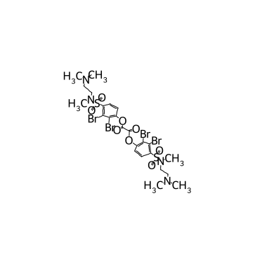 CN(C)CCN(C)S(=O)(=O)c1ccc(OC(=O)C(=O)Oc2ccc(S(=O)(=O)N(C)CCN(C)C)c(Br)c2Br)c(Br)c1Br